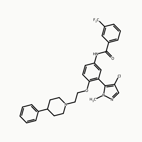 Cn1ncc(Cl)c1-c1cc(NC(=O)c2cccc(C(F)(F)F)c2)ccc1OCCN1CCC(c2ccccc2)CC1